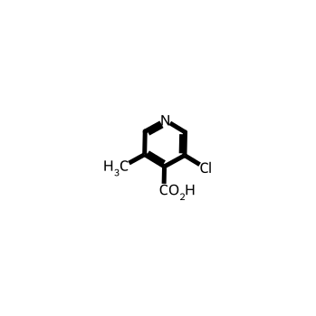 Cc1cncc(Cl)c1C(=O)O